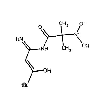 CC(C)(C)/C(O)=C/C(=N)NC(=O)C(C)(C)[S+]([O-])C#N